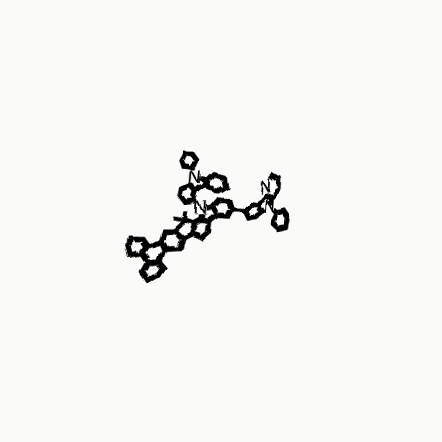 CC1(C)c2cc3c4ccccc4c4ccccc4c3cc2-c2ccc3c4cc(-c5ccc6c(c5)c5ncccc5n6-c5ccccc5)ccc4n(-c4cccc5c4c4ccccc4n5-c4ccccc4)c3c21